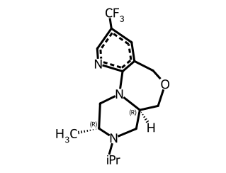 CC(C)N1C[C@@H]2COCc3cc(C(F)(F)F)cnc3N2C[C@H]1C